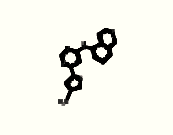 Cc1csc(-c2cc(Nc3cccc4cnccc34)ncn2)c1